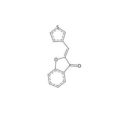 O=C1/C(=C/c2ccsc2)Oc2ccccc21